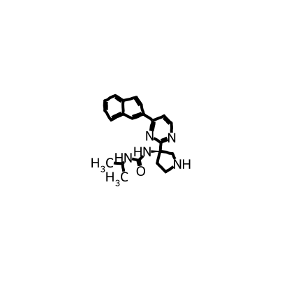 CC(C)NC(=O)N[C@]1(c2nccc(-c3ccc4ccccc4c3)n2)CCNC1